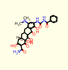 CN(C)c1cc(NC(=O)NC(=O)c2ccccc2)c(O)c2c1CC1C[C@H]3CC(O)=C(C(N)=O)C(=O)[C@@]3(O)C(O)=C1C2=O